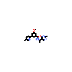 COc1cc(C(=O)NC(C)c2cnc(C)nc2)cc(-c2ccc(C)cn2)c1